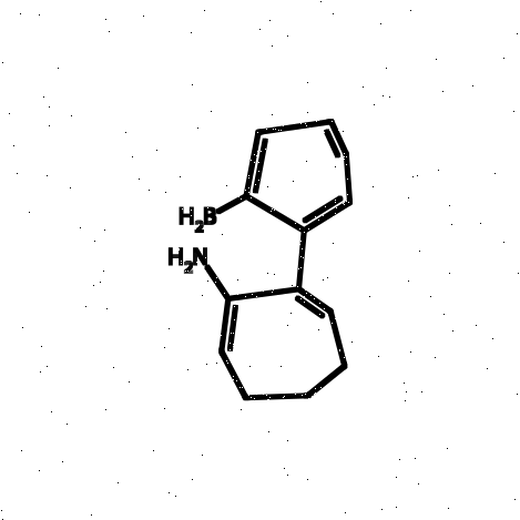 Bc1ccccc1C1=CCCCC=C1N